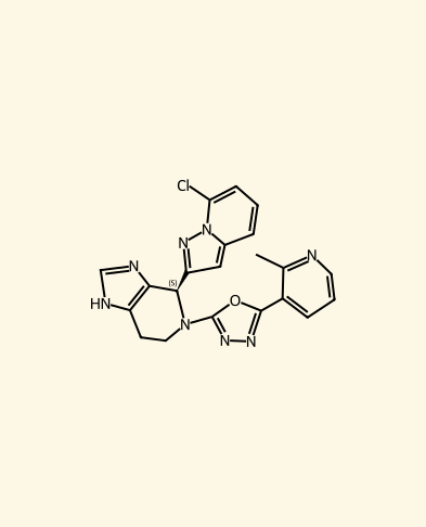 Cc1ncccc1-c1nnc(N2CCc3[nH]cnc3[C@H]2c2cc3cccc(Cl)n3n2)o1